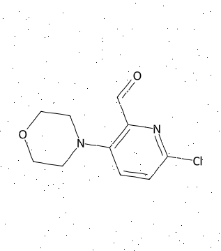 O=Cc1nc(Cl)ccc1N1CCOCC1